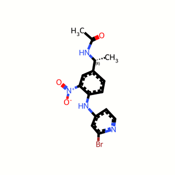 CC(=O)N[C@H](C)c1ccc(Nc2ccnc(Br)c2)c([N+](=O)[O-])c1